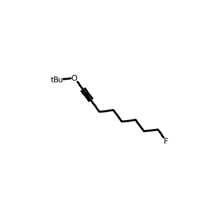 CC(C)(C)OC#CCCCCCCF